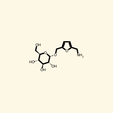 NCc1ccc(CO[C@H]2O[C@H](CO)[C@@H](O)[C@H](O)[C@H]2O)o1